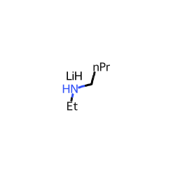 CCCCNCC.[LiH]